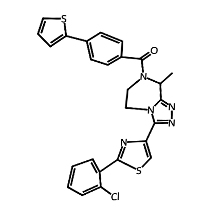 CC1c2nnc(-c3csc(-c4ccccc4Cl)n3)n2CCN1C(=O)c1ccc(-c2cccs2)cc1